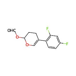 O=COC1CCC(c2ccc(F)cc2F)=CO1